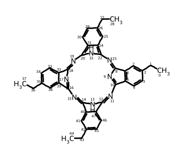 CCc1ccc2c(c1)-c1nc-2nc2[nH]c(nc3nc(nc4[nH]c(n1)c1cc(CC)ccc41)-c1ccc(CC)cc1-3)c1cc(CC)ccc21